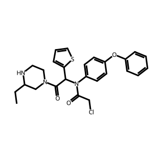 CCC1CN(C(=O)C(c2cccs2)N(C(=O)CCl)c2ccc(Oc3ccccc3)cc2)CCN1